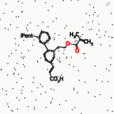 C=C(C)C(=O)OCCc1cc(C=CC(=O)O)ccc1-c1cccc(C(C)CCC)c1